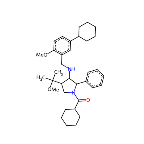 COc1ccc(C2CCCCC2)cc1CNC1C(c2ccccc2)N(C(=O)C2CCCCC2)CC1C(C)(C)OC